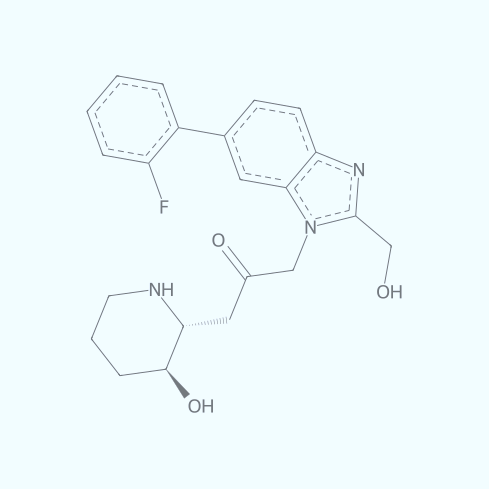 O=C(C[C@H]1NCCC[C@@H]1O)Cn1c(CO)nc2ccc(-c3ccccc3F)cc21